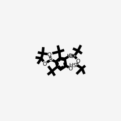 CC(C)(C)c1cc2c(c(C(C)(C)C)c1B1OC(C)(C)C(C)(C)O1)O[SiH](C(C)(C)C)O[SiH](C(C)(C)C)O2